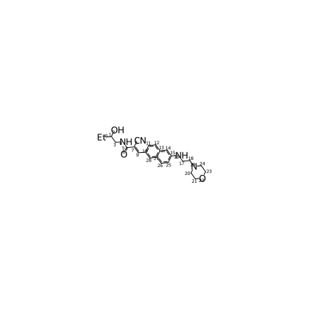 CCC(O)CNC(=O)/C(C#N)=C/c1ccc2cc(NCCN3CCOCC3)ccc2c1